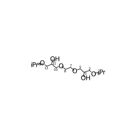 CC(C)OCC(O)COCCOCC(O)COC(C)C